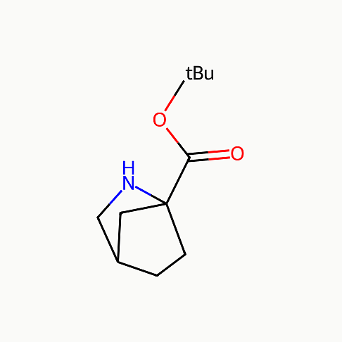 CC(C)(C)OC(=O)C12CCC(CN1)C2